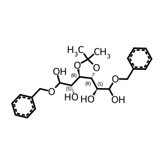 CC1(C)O[C@H]([C@H](O)C(O)OCc2ccccc2)[C@@H]([C@H](O)C(O)OCc2ccccc2)O1